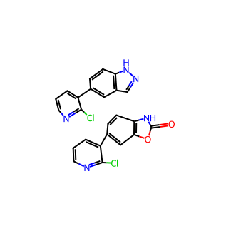 Clc1ncccc1-c1ccc2[nH]ncc2c1.O=c1[nH]c2ccc(-c3cccnc3Cl)cc2o1